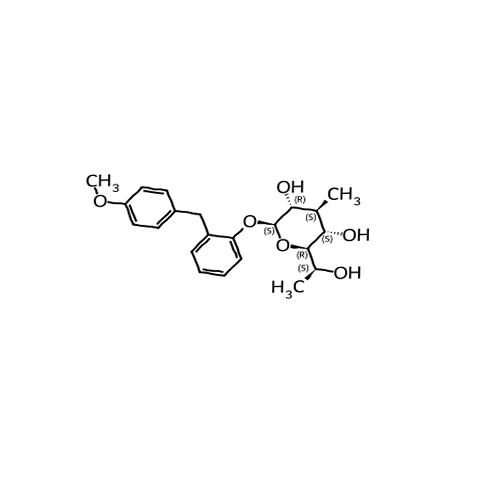 COc1ccc(Cc2ccccc2O[C@@H]2O[C@H]([C@H](C)O)[C@@H](O)[C@H](C)[C@H]2O)cc1